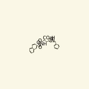 O=C(O)C(Cc1cnn(Cc2ccccc2)c1)C(=O)NS(=O)(=O)c1ccc2ccccc2c1